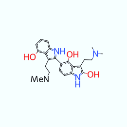 CNCCc1c(-c2ccc3[nH]c(O)c(CCN(C)C)c3c2O)[nH]c2cccc(O)c12